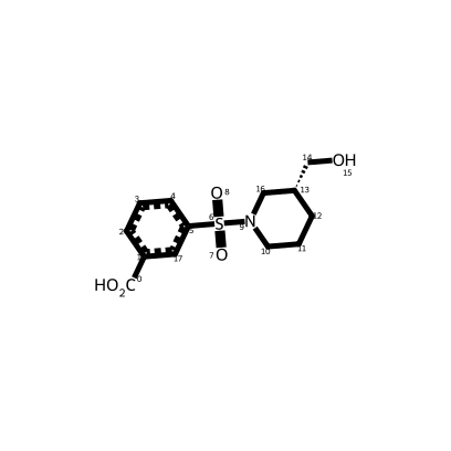 O=C(O)c1cccc(S(=O)(=O)N2CCC[C@@H](CO)C2)c1